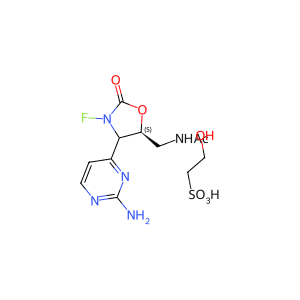 CC(=O)NC[C@@H]1OC(=O)N(F)C1c1ccnc(N)n1.O=S(=O)(O)CCO